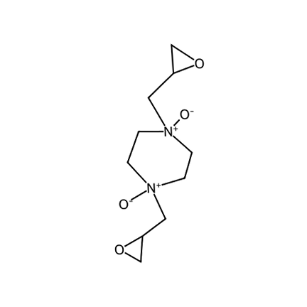 [O-][N+]1(CC2CO2)CC[N+]([O-])(CC2CO2)CC1